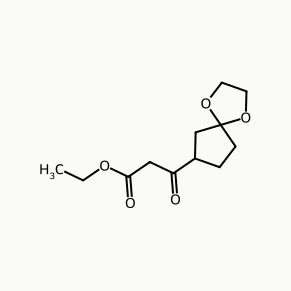 CCOC(=O)CC(=O)C1CCC2(C1)OCCO2